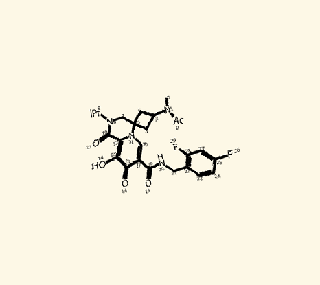 CC(=O)N(C)C1CC2(C1)CN(C(C)C)C(=O)c1c(O)c(=O)c(C(=O)NCc3ccc(F)cc3F)cn12